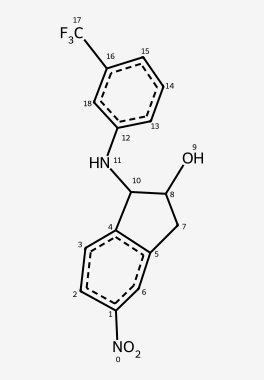 O=[N+]([O-])c1ccc2c(c1)CC(O)C2Nc1cccc(C(F)(F)F)c1